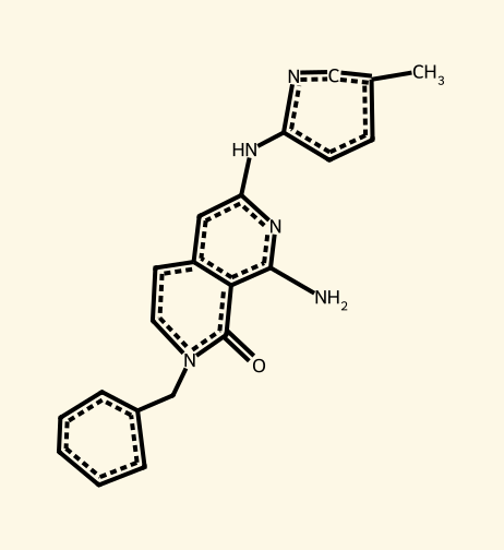 Cc1ccc(Nc2cc3ccn(Cc4ccccc4)c(=O)c3c(N)n2)nc1